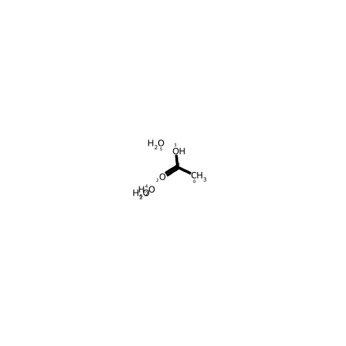 CC(=O)O.O.O.O